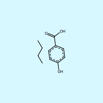 CCCC.O=C(O)c1ccc(O)cc1